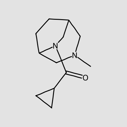 CN1CC2CCC(C1)N(C(=O)C1CC1)C2